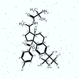 CC(NC(=O)C(C)(C)N)C1CC[C@@]2(S(=O)(=O)c3ccc(F)cc3)c3ccc(C(F)(C(F)(F)F)C(F)(F)F)cc3CC[C@@H]12